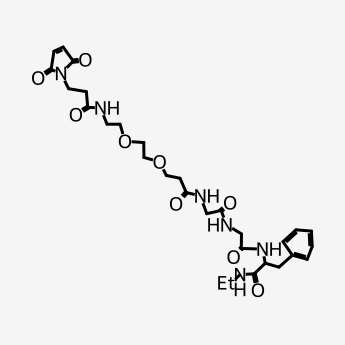 CCNC(=O)C(Cc1ccccc1)NC(=O)CNC(=O)CNC(=O)CCOCCOCCNC(=O)CCN1C(=O)C=CC1=O